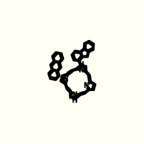 C1=Cc2cc3cc(-c4cccc5c4Cc4ccccc4-5)c(cc4nc(cc5ccc(cc1n2)[nH]5)C=C4)[nH]3.c1ccc2cc3ccccc3cc2c1